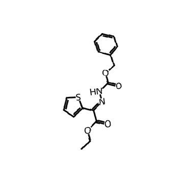 CCOC(=O)C(=NNC(=O)OCc1ccccc1)c1cccs1